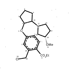 CCOC(=O)c1ccc(OC2CCCC2N2CC[C@H](OC)C2)cc1CCl